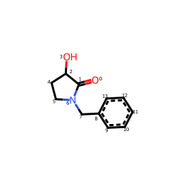 O=C1C(O)CCN1Cc1ccccc1